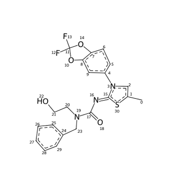 Cc1cn(-c2ccc3c(c2)OC(F)(F)O3)c(=NC(=O)N(CCO)Cc2ccccc2)s1